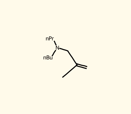 C=C(C)CN(CCC)CCCC